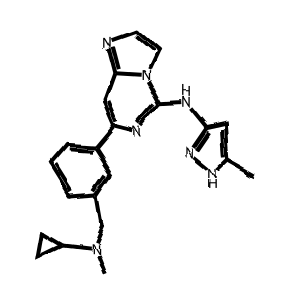 Cc1cc(Nc2nc(-c3cccc(CN(C)C4CC4)c3)cc3nccn23)n[nH]1